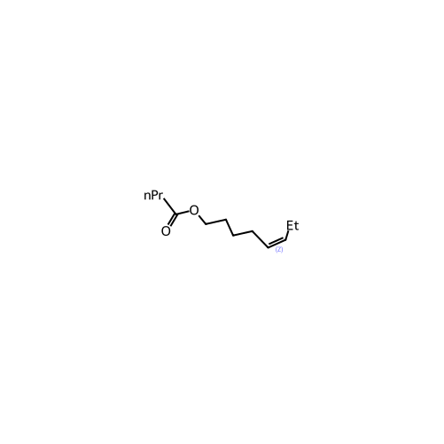 CC/C=C\CCCCOC(=O)CCC